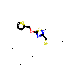 SCc1nsc(OCc2cccs2)n1